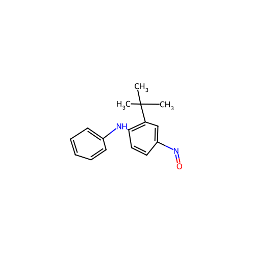 CC(C)(C)c1cc(N=O)ccc1Nc1ccccc1